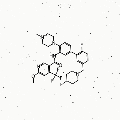 COc1cc(C(F)(F)F)c(C(=O)Nc2cc(-c3cc(CN4CCC(F)CC4)ccc3F)ccc2N2CCN(C)CC2)cn1